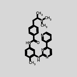 Cc1ccc(NC(=O)c2ccc(CC(C)N(C)C)cc2)cc1Nc1nccc(-c2cccnc2)n1